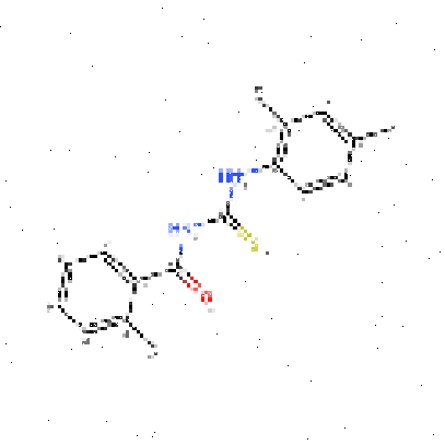 Cc1ccc(NC(=S)NC(=O)c2ccccc2C)c(C)c1